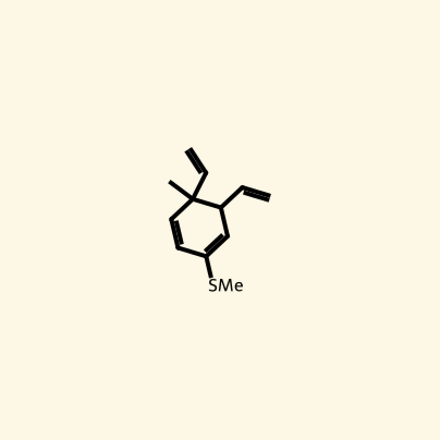 C=CC1C=C(SC)C=CC1(C)C=C